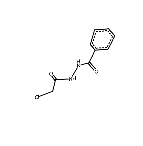 O=C(CCl)NNC(=O)c1ccccc1